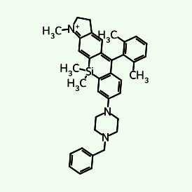 Cc1cccc(C)c1C1=c2cc3c(cc2[Si](C)(C)c2cc(N4CCN(Cc5ccccc5)CC4)ccc21)=[N+](C)CC3